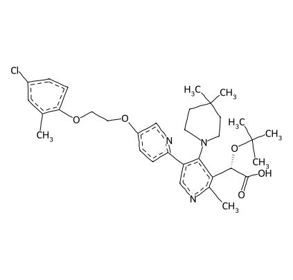 Cc1cc(Cl)ccc1OCCOc1ccc(-c2cnc(C)c([C@H](OC(C)(C)C)C(=O)O)c2N2CCC(C)(C)CC2)nc1